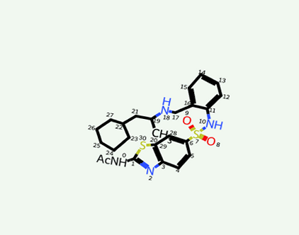 CC(=O)Nc1nc2ccc(S(=O)(=O)Nc3ccccc3CNC(C)CC3CCCCC3)cc2s1